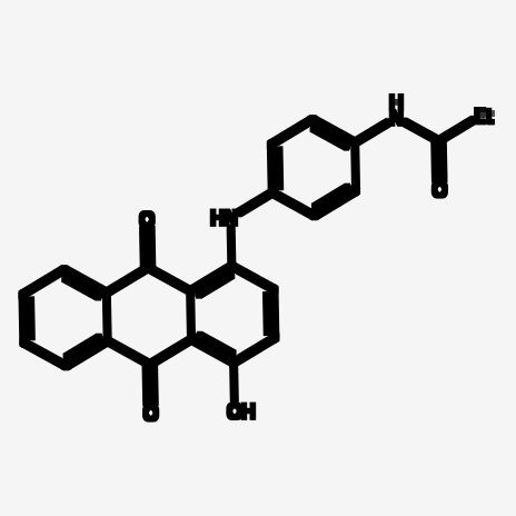 CCC(=O)Nc1ccc(Nc2ccc(O)c3c2C(=O)c2ccccc2C3=O)cc1